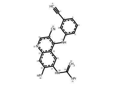 C#Cc1cccc(Nc2c(C#N)cnc3cc(CCC)c(NC(=C)CCC)cc23)c1